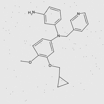 COc1ccc(N(Cc2cccnc2)c2cccc(N)c2)cc1OCC1CC1